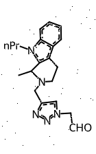 CCCn1c2c(c3ccccc31)CCN(Cc1cn(CC=O)nn1)C2C